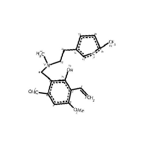 C=Cc1c(OC)cc(C=O)c(CN(C)CCc2ccc(C(F)(F)F)cc2)c1O